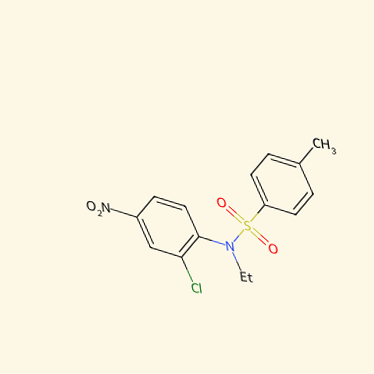 CCN(c1ccc([N+](=O)[O-])cc1Cl)S(=O)(=O)c1ccc(C)cc1